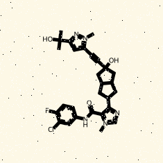 Cn1cnc(C2CC3CC(O)(C#Cc4cc(C(C)(C)O)nn4C)CC3C2)c1C(=O)Nc1ccc(F)c(Cl)c1